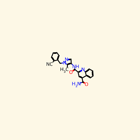 Cc1c(NC(=O)c2cc(C(N)=O)c3ccccc3n2)cnn1Cc1ccccc1C#N